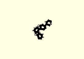 c1cncc(-c2ccc3c(c2)oc2ccc4oc5ccccc5c4c23)c1